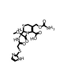 CO[C@@]1(NC(=O)CSc2ncc[nH]2)C(=O)N2C(C(=O)O)=C(COC(N)=O)CS[C@@H]21